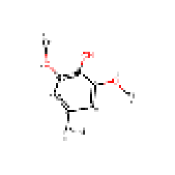 CCCCCc1cc(OCC)c(O)c(OCC)c1